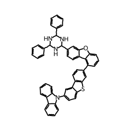 c1ccc(C2NC(c3ccccc3)NC(c3ccc4c(c3)oc3cccc(-c5ccc6c(c5)sc5ccc(-n7c8ccccc8c8ccccc87)cc56)c34)N2)cc1